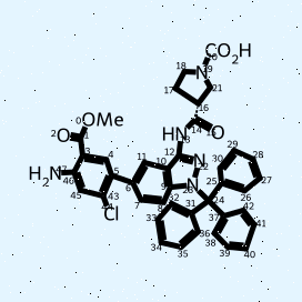 COC(=O)c1cc(-c2ccc3c(c2)c(NC(=O)[C@@H]2CCN(C(=O)O)C2)nn3C(c2ccccc2)(c2ccccc2)c2ccccc2)c(Cl)cc1N